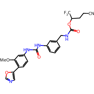 COc1cc(NC(=O)Nc2cccc(CNC(=O)OC(CCC#N)C(F)(F)F)c2)ccc1-c1cnco1